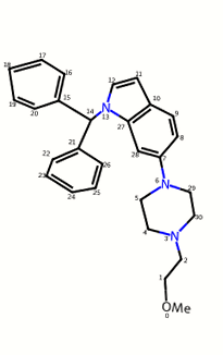 COCCN1CCN(c2ccc3ccn(C(c4ccccc4)c4ccccc4)c3c2)CC1